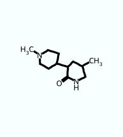 CC1CNC(=O)C(C2CCN(C)CC2)C1